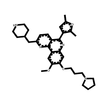 COc1cc2c(cc1OCCCN1CCCC1)nc(-c1cc(C)oc1C)c1ccc(CC3CCNCC3)nc12